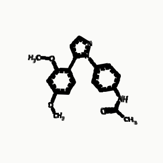 COc1ccc(-c2ccnn2-c2ccc(NC(C)=O)cc2)c(OC)c1